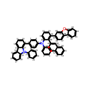 c1ccc(N(c2ccc(-c3cccc4c5ccccc5n(-c5ccccc5)c34)cc2)c2cccc(-c3ccc4c(c3)oc3ccccc34)c2-c2ccc3ccccc3c2)cc1